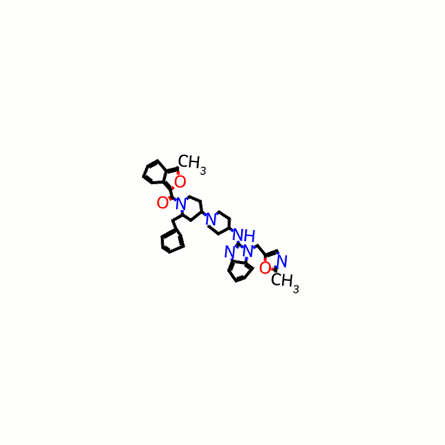 Cc1ncc(Cn2c(NC3CCN(C4CCN(C(=O)c5oc(C)c6ccccc56)C(Cc5ccccc5)C4)CC3)nc3ccccc32)o1